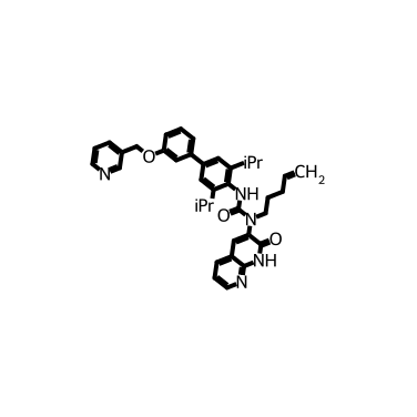 C=CCCCN(C(=O)Nc1c(C(C)C)cc(-c2cccc(OCc3cccnc3)c2)cc1C(C)C)c1cc2cccnc2[nH]c1=O